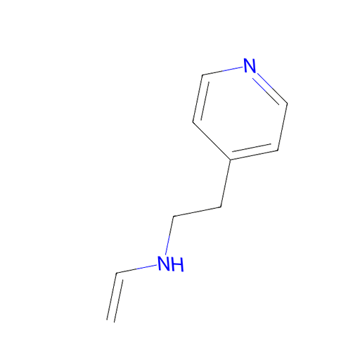 C=CNCCc1ccncc1